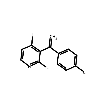 C=C(c1ccc(Cl)cc1)c1c(I)ccnc1F